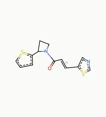 O=C(/C=C/c1cncs1)N1CCC1c1cccs1